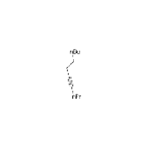 CCCC#CCCCCCC